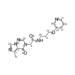 CC1=C2C(=O)N(CC(=O)NCCCOc3cccnc3)C=N[N+]2C=N1